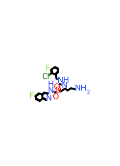 CN(C(=O)NCc1cccc(F)c1Cl)C(CCCN)COC(=O)Nc1cc2cc(F)ccc2cn1